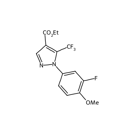 CCOC(=O)c1cnn(-c2ccc(OC)c(F)c2)c1C(F)(F)F